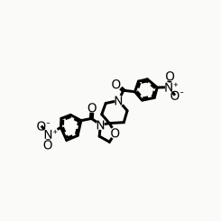 O=C(c1ccc([N+](=O)[O-])cc1)N1CCC2(CC1)OCCN2C(=O)c1ccc([N+](=O)[O-])cc1